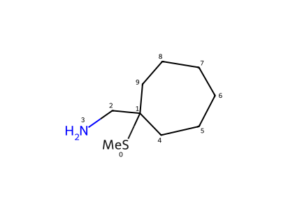 CSC1(CN)CCCCCC1